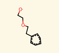 [O]CCOCCc1ccccc1